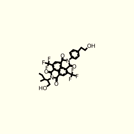 CCC(C)C(CO)N1C(=O)c2cc(C(F)(F)F)c3c4c(cc(C(F)(F)F)c(c24)C1=O)C(=O)N(c1ccc(CCO)cc1)C3=O